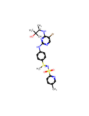 Cc1ccc(S(=O)(=O)/N=S(\C)c2ccc(Nc3ncc(Br)c(N[C@H](C)C(C)(C)O)n3)cc2)nc1